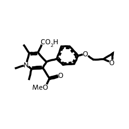 COC(=O)C1=C(C)N(C)C(C)=C(C(=O)O)C1c1ccc(OCC2CO2)cc1